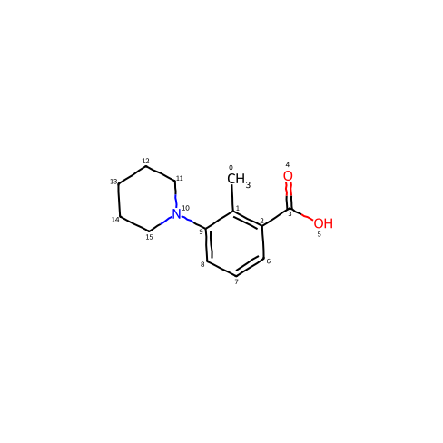 Cc1c(C(=O)O)cccc1N1CCCCC1